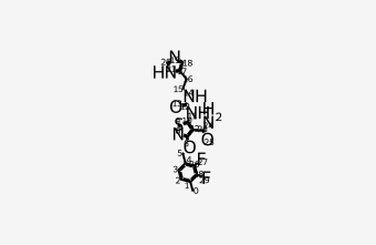 Cc1ccc(COc2nsc(NC(=O)NCCc3cnc[nH]3)c2C(N)=O)c(F)c1F